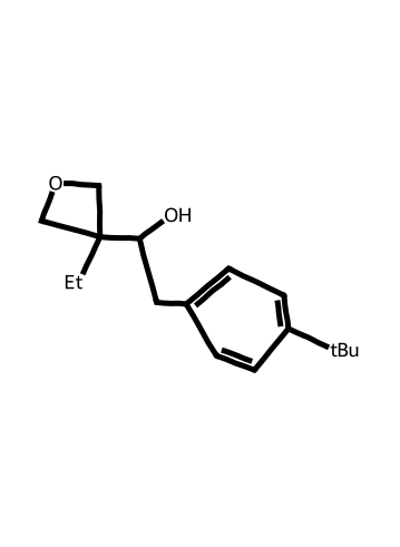 CCC1(C(O)Cc2ccc(C(C)(C)C)cc2)COC1